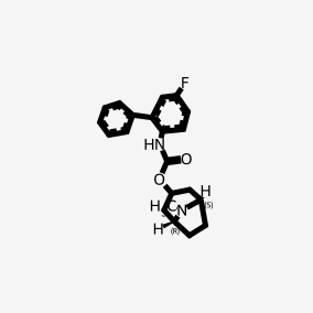 CN1[C@@H]2CC[C@H]1CC(OC(=O)Nc1ccc(F)cc1-c1ccccc1)C2